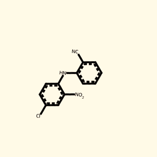 N#Cc1ccccc1Nc1ccc(Cl)cc1[N+](=O)[O-]